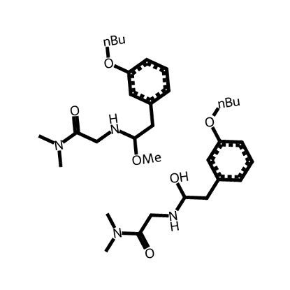 CCCCOc1cccc(CC(NCC(=O)N(C)C)OC)c1.CCCCOc1cccc(CC(O)NCC(=O)N(C)C)c1